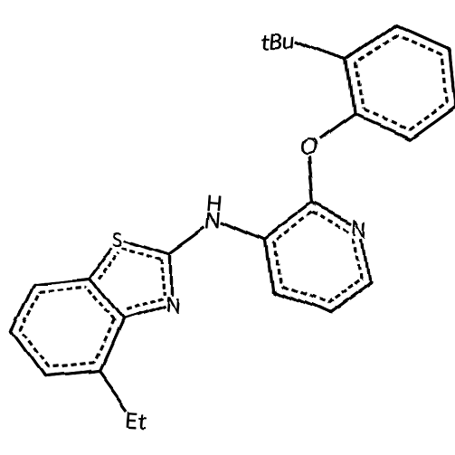 CCc1cccc2sc(Nc3cccnc3Oc3ccccc3C(C)(C)C)nc12